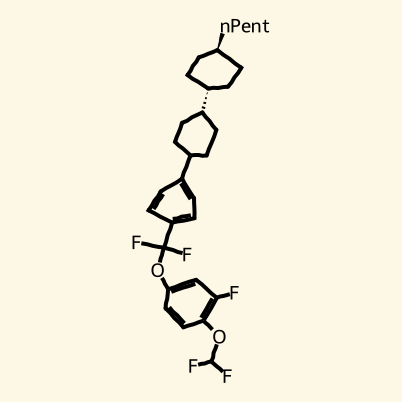 CCCCC[C@H]1CC[C@H](C2CCC(c3ccc(C(F)(F)Oc4ccc(OC(F)F)c(F)c4)cc3)CC2)CC1